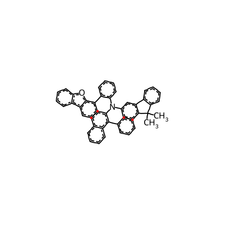 CC1(C)c2ccccc2-c2cc(N(c3ccccc3-c3cccc4c3oc3ccccc34)c3ccc4ccccc4c3-c3ccccc3)ccc21